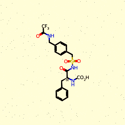 O=C(O)N[C@@H](Cc1ccccc1)C(=O)NS(=O)(=O)Cc1ccc(CNC(=O)C(F)(F)F)cc1